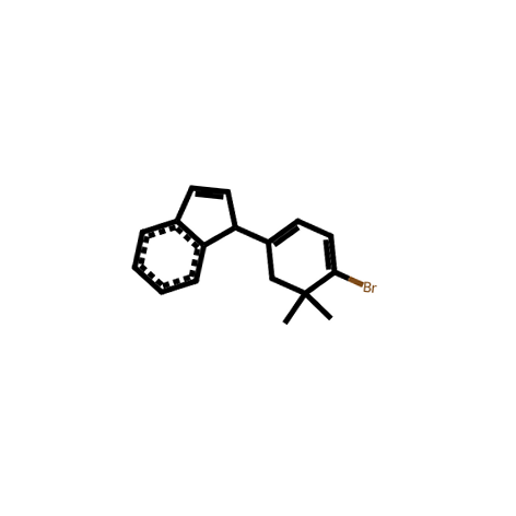 CC1(C)CC(C2C=Cc3ccccc32)=CC=C1Br